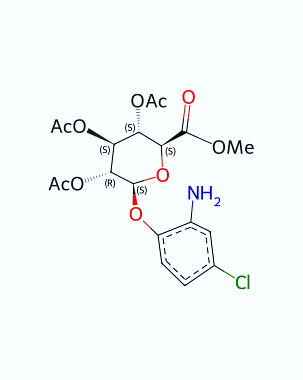 COC(=O)[C@H]1O[C@@H](Oc2ccc(Cl)cc2N)[C@H](OC(C)=O)[C@@H](OC(C)=O)[C@@H]1OC(C)=O